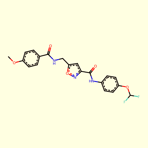 COc1ccc(C(=O)NCc2cc(C(=O)Nc3ccc(OC(F)F)cc3)no2)cc1